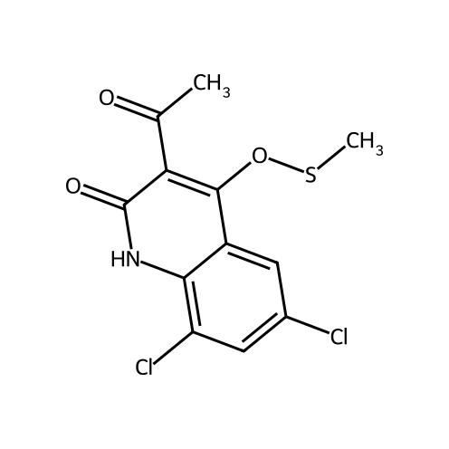 CSOc1c(C(C)=O)c(=O)[nH]c2c(Cl)cc(Cl)cc12